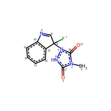 Bn1c(=O)[nH]n(C2(F)C=Nc3ccccc32)c1=O